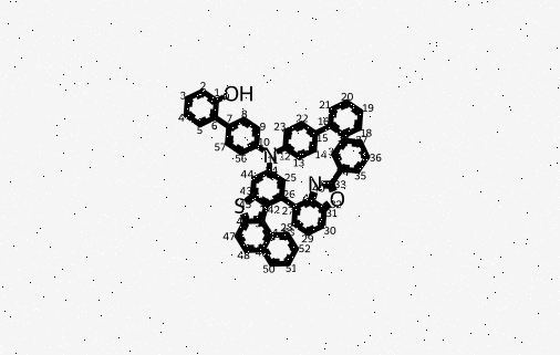 Oc1ccccc1-c1ccc(N(c2ccc(-c3ccccc3)cc2)c2cc(-c3cccc4oc(-c5ccccc5)nc34)c3c(c2)sc2ccc4ccccc4c23)cc1